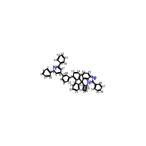 c1ccc(-c2cc(-c3cccc(-c4cccc5c4-c4ccccc4C54c5ccccc5-n5c(-c6ccccc6)nc6cccc4c65)c3)cc(-c3ccccc3)n2)cc1